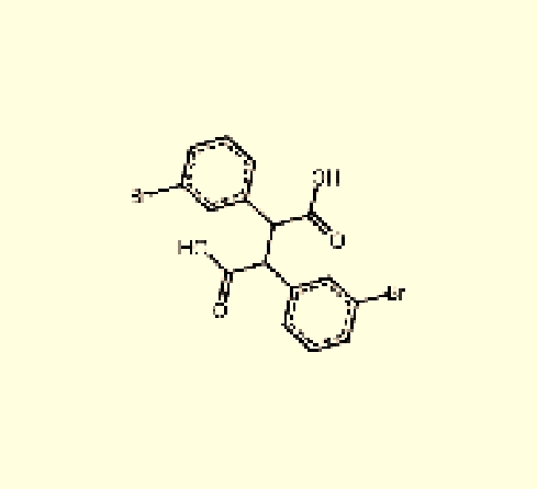 O=C(O)C(c1cccc(Br)c1)C(C(=O)O)c1cccc(Br)c1